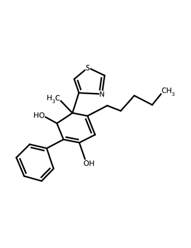 CCCCCC1=CC(O)=C(c2ccccc2)C(O)C1(C)c1cscn1